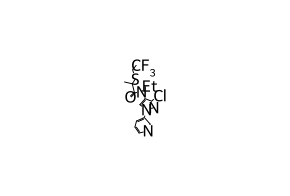 CCN(C(=O)C(C)SCC(F)(F)F)c1cn(-c2cccnc2)nc1Cl